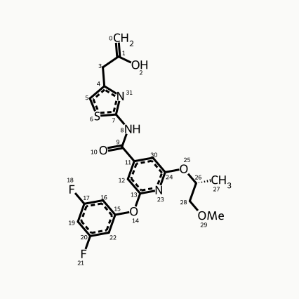 C=C(O)Cc1csc(NC(=O)c2cc(Oc3cc(F)cc(F)c3)nc(O[C@H](C)COC)c2)n1